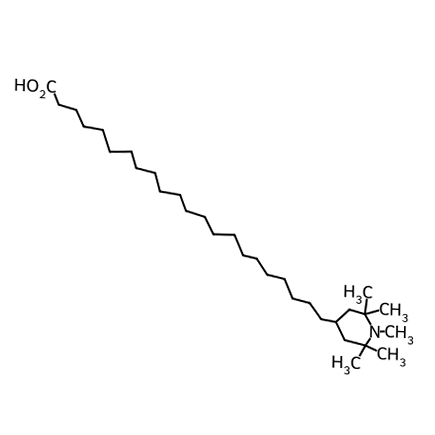 CN1C(C)(C)CC(CCCCCCCCCCCCCCCCCCCCCC(=O)O)CC1(C)C